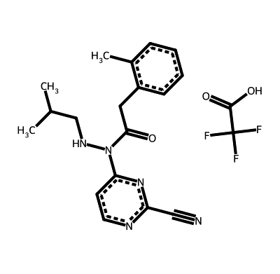 Cc1ccccc1CC(=O)N(NCC(C)C)c1ccnc(C#N)n1.O=C(O)C(F)(F)F